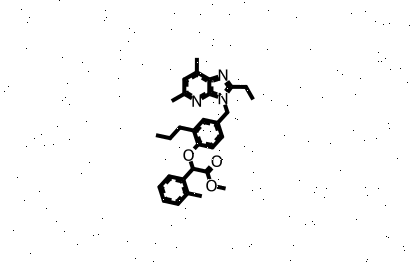 CCCc1cc(Cn2c(CC)nc3c(C)cc(C)nc32)ccc1OC(C(=O)OC)c1ccccc1C